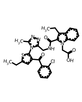 CCc1cc(C(=O)c2ccccc2Cl)c(-n2c(C)nnc2CNC(=O)c2c(CC)c3ccccc3n2CC(=O)O)s1